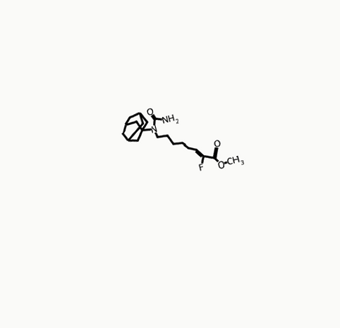 COC(=O)/C(F)=C/CCCCCN(C(N)=O)C12CC3CC(CC(C3)C1)C2